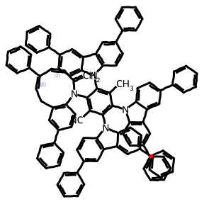 C=C1/C=C\C(c2ccccc2)=C/Cc2cc(-c3ccccc3)ccc2N1c1c(C#N)c(-n2c3ccc(-c4ccccc4)cc3c3cc(-c4ccccc4)ccc32)c(-n2c3ccc(-c4ccccc4)cc3c3cc(-c4ccccc4)ccc32)c(C)c1-n1c2ccc(-c3ccccc3)cc2c2cc(-c3ccccc3)ccc21